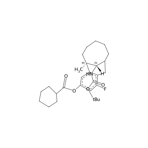 CC(C)(C)OC(=O)N[C@H]1C2CCCCC[C@]1(C)c1cc(OC(=O)C3CCCCC3)cc(F)c1C2